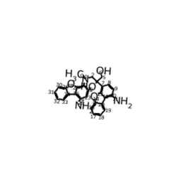 CN(CC(O)(CO)c1ccc(N)c2c1oc1ccccc12)c1ccc(N)c2c1oc1ccccc12